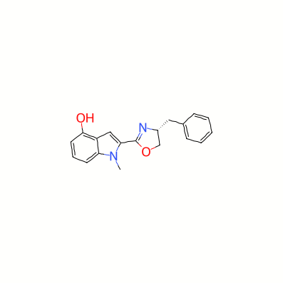 Cn1c(C2=N[C@H](Cc3ccccc3)CO2)cc2c(O)cccc21